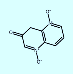 O=C1C=[N+]([O-])c2ccc[n+]([O-])c2C1